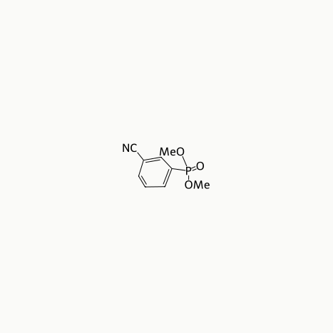 COP(=O)(OC)c1cccc(C#N)c1